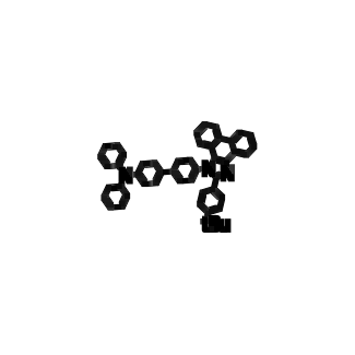 CC(C)(C)c1ccc(-c2nc3c4ccccc4c4ccccc4c3n2-c2ccc(-c3ccc(N(c4ccccc4)c4ccccc4)cc3)cc2)cc1